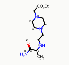 CCOC(=O)CN1CCN(CCN[C@@H](C)C(N)=O)CC1